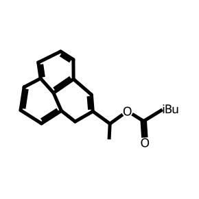 CCC(C)C(=O)OC(C)C1=Cc2cccc3cccc(c23)C1